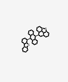 c1ccc2c(c1)sc1c(-c3c4ccccc4c(-c4cc5cccc6sc7cccc4c7c56)c4ccccc34)cccc12